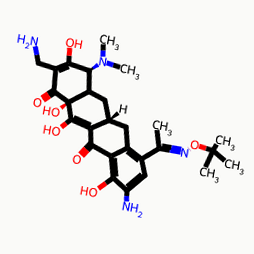 C/C(=N\OC(C)(C)C)c1cc(N)c(O)c2c1C[C@H]1CC3[C@H](N(C)C)C(O)=C(CN)C(=O)[C@@]3(O)C(O)=C1C2=O